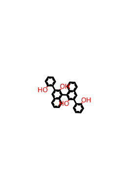 Oc1ccccc1-c1cc2ccccc2c(-c2c(O)c(-c3ccccc3O)cc3ccccc23)c1O